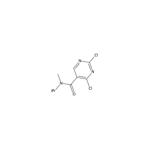 CC(C)N(C)C(=O)c1cnc(Cl)nc1Cl